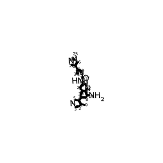 Cc1ccncc1-c1cc(N)c2nnc(NC(=O)N3CC(c4cnn(C)c4)C3)cc2c1